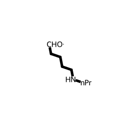 CCCNCCCC[C]=O